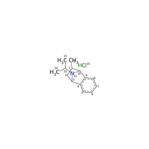 CC1CC2c3ccccc3C1N2C(C)C.Cl